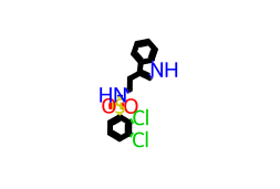 O=S(=O)(NCCc1c[nH]c2ccccc12)c1cccc(Cl)c1Cl